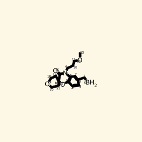 BCc1ccc2c(c1)N(CCCOC)C(=O)C1(CCOCC1)O2